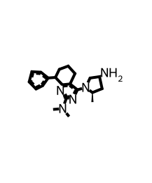 C[C@@H]1C[C@@H](N)CN1c1nc(N(C)C)nc2c1CCCC2c1ccccc1